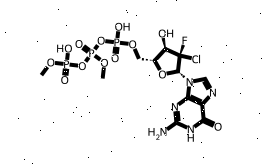 COP(=O)(O)OP(=O)(OC)OP(=O)(O)OC[C@H]1O[C@@H](n2cnc3c(=O)[nH]c(N)nc32)[C@@](F)(Cl)[C@@H]1O